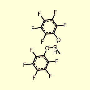 C[SiH](Oc1c(F)c(F)c(F)c(F)c1F)Oc1c(F)c(F)c(F)c(F)c1F